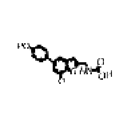 O=C(O)NCc1cc2cc(-c3ccc(O)cc3)cc(Cl)c2o1